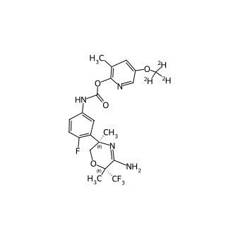 [2H]C([2H])([2H])Oc1cnc(OC(=O)Nc2ccc(F)c([C@]3(C)CO[C@@](C)(C(F)(F)F)C(N)=N3)c2)c(C)c1